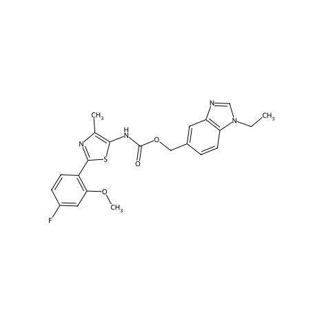 CCn1cnc2cc(COC(=O)Nc3sc(-c4ccc(F)cc4OC)nc3C)ccc21